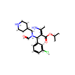 C/C(N)=C(\C(=O)OC(C)C)C(c1cccc(Cl)c1)N(C=O)CC1CCNCC1